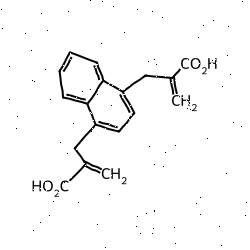 C=C(Cc1ccc(CC(=C)C(=O)O)c2ccccc12)C(=O)O